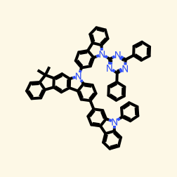 CC1(C)c2ccccc2-c2cc3c4cc(-c5ccc6c7ccccc7n(-c7ccccc7)c6c5)ccc4n(-c4ccc5c6ccccc6n(-c6nc(-c7ccccc7)nc(-c7ccccc7)n6)c5c4)c3cc21